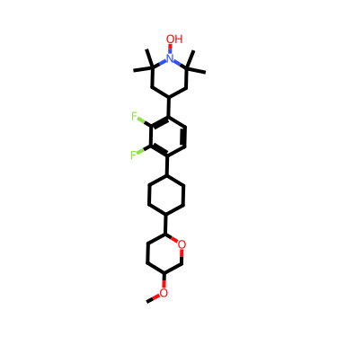 COC1CCC(C2CCC(c3ccc(C4CC(C)(C)N(O)C(C)(C)C4)c(F)c3F)CC2)OC1